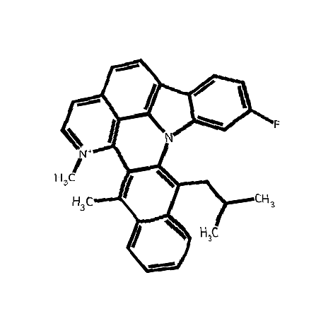 Cc1c2ccccc2c(CC(C)C)c2c1c1c3c(ccc4c5ccc(F)cc5n2c43)cc[n+]1C